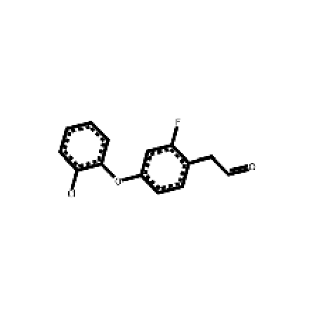 O=CCc1ccc(Oc2ccccc2Cl)cc1F